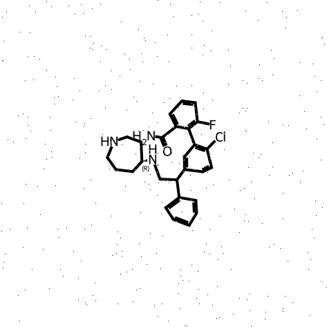 NC(=O)c1cccc(F)c1-c1cc(C(CN[C@@H]2CCCNCC2)c2ccccc2)ccc1Cl